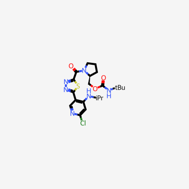 CC(C)Nc1cc(Cl)ncc1-c1nnc(C(=O)N2CCC[C@H]2COC(=O)NC(C)(C)C)s1